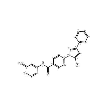 C=C/C=C(\C=C/N)NC(=O)c1ccc(-n2nc(-c3cccnc3)cc2C(F)(F)F)cc1